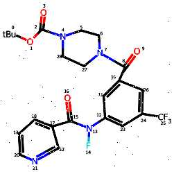 CC(C)(C)OC(=O)N1CCN(C(=O)c2cc(N(F)C(=O)c3cccnc3)cc(C(F)(F)F)c2)CC1